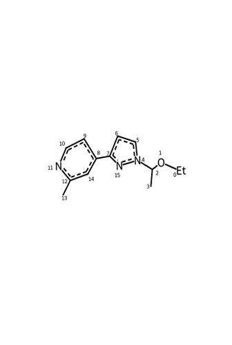 CCOC(C)n1ccc(-c2ccnc(C)c2)n1